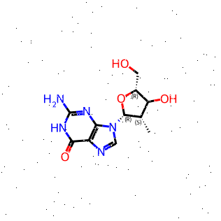 C[C@H]1C(O)[C@@H](CO)O[C@H]1n1cnc2c(=O)[nH]c(N)nc21